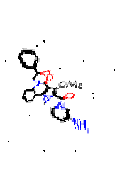 COc1c(C(=O)N2CCC[C@@H](N)C2)n(C)c2c1c(=O)n(CC(=O)c1ccccc1)c1ccccc21